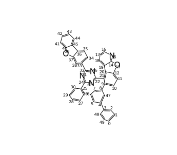 c1ccc(-c2cccc(-c3ccc4oc5ncccc5c4c3-c3nc(-c4ccccc4)nc(-c4ccc5c(c4)oc4ccccc45)n3)c2)cc1